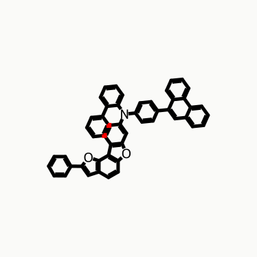 c1ccc(-c2cc3ccc4oc5cc(N(c6ccc(-c7cc8ccccc8c8ccccc78)cc6)c6ccccc6-c6ccccc6)ccc5c4c3o2)cc1